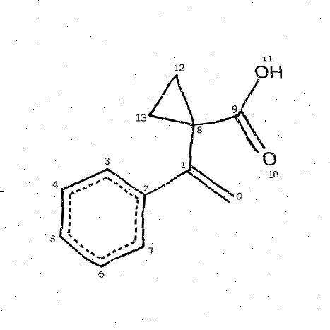 C=C(c1ccccc1)C1(C(=O)O)CC1